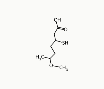 COC(C)CCC(S)CC(=O)O